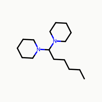 CCCCCC(N1CCCCC1)N1CCCCC1